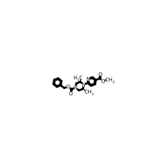 COC(=O)c1ccc(N2[C@H](C)CN(C(=O)OCc3ccccc3)C[C@@H]2C)nc1